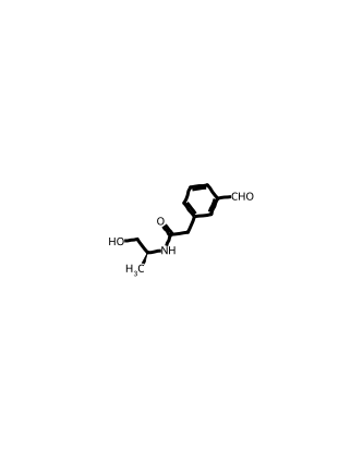 C[C@@H](CO)NC(=O)Cc1cccc(C=O)c1